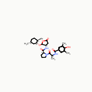 Cc1cc(C(=O)N[C@@H](C)C(=O)N2CCC[C@H]2C(=O)N[C@H]2CC(=O)OC2O[C@@H]2C[C@H](C)CC[C@H]2C(C)C)cc(C)c1O